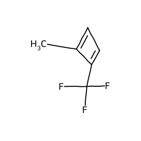 CC1=CC=C1C(F)(F)F